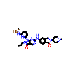 C=CCn1c(=O)c2cnc(Nc3ccc4c(c3)CN(C3CCN(C)CC3)C4=O)nc2n1-c1cccc(/N=[SH]\C)n1